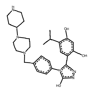 CC(C)c1cc(-c2nnc(O)n2-c2ccc(CN3CCN(C4CCNCC4)CC3)cc2)c(O)cc1O